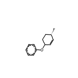 F[C@@H]1C=CC(Oc2ccccc2)CC1